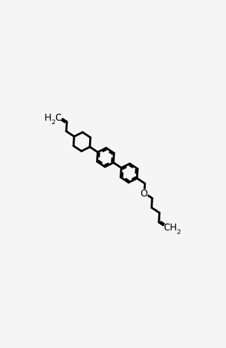 C=CCCCOCc1ccc(-c2ccc(C3CCC(CC=C)CC3)cc2)cc1